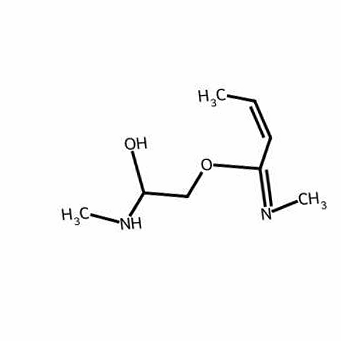 C/C=C\C(=N/C)OCC(O)NC